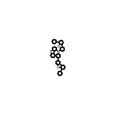 c1ccc(-c2cccc3c2oc2ccc(-c4ccc(N(c5cccc6c5oc5c(-c7ccccc7)cccc56)c5cccc6sc7ccccc7c56)cc4)cc23)cc1